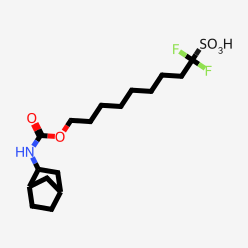 O=C(NC1CC2CCC1C2)OCCCCCCCCC(F)(F)S(=O)(=O)O